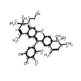 CC[N+]1(C)c2cc3c(cc2C(C)=CC1C)C(c1cc(Cl)c(Cl)c(Cl)c1Cl)=c1cc2c(cc1O3)=[N+](CCO)C(C)(C)C=C2C